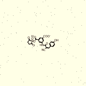 N#CC(=Cc1ccc(O)cc1)C(=O)Nc1cc(C(=O)[O-])cc(C(=O)O[N+]2(O)C(=O)CCC2=O)c1